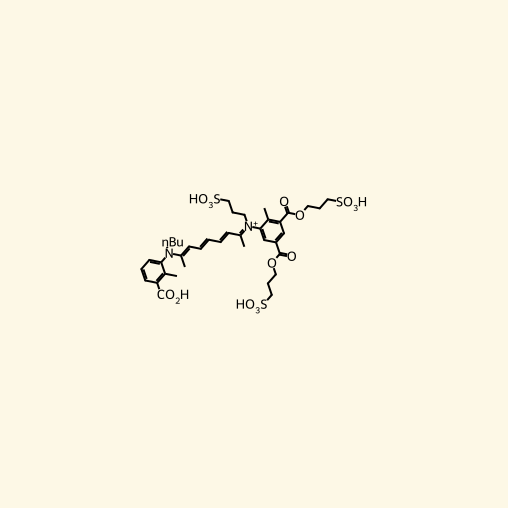 CCCCN(/C(C)=C/C=C/C=C/C(C)=[N+](\CCCS(=O)(=O)O)c1cc(C(=O)OCCCS(=O)(=O)O)cc(C(=O)OCCCS(=O)(=O)O)c1C)c1cccc(C(=O)O)c1C